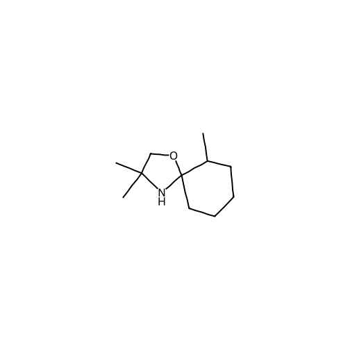 CC1CCCCC12NC(C)(C)CO2